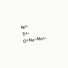 [Mn+2].[Na+].[Ni+2].[O-2].[Ti+4]